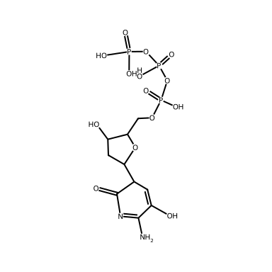 NC1=NC(=O)C(C2CC(O)C(COP(=O)(O)OP(=O)(O)OP(=O)(O)O)O2)C=C1O